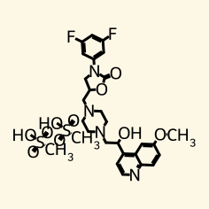 COc1ccc2nccc(C(O)CN3CCN(CC4CN(c5cc(F)cc(F)c5)C(=O)O4)CC3)c2c1.CS(=O)(=O)O.CS(=O)(=O)O